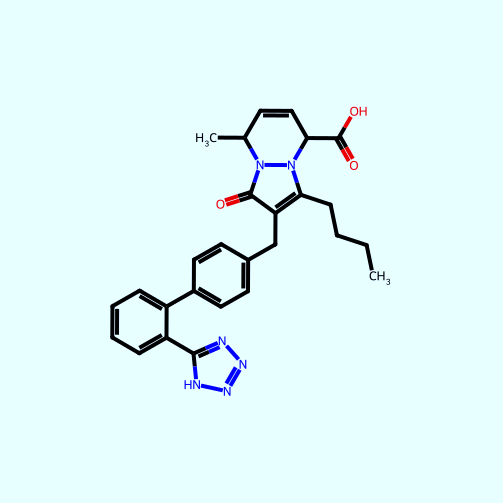 CCCCc1c(Cc2ccc(-c3ccccc3-c3nnn[nH]3)cc2)c(=O)n2n1C(C(=O)O)C=CC2C